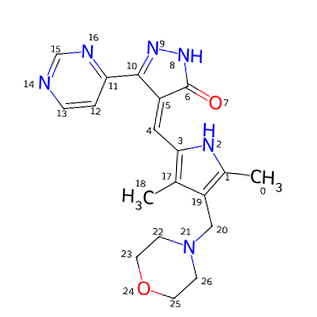 Cc1[nH]c(C=C2C(=O)NN=C2c2ccncn2)c(C)c1CN1CCOCC1